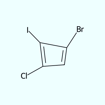 ClC1=C(I)C(Br)=C1